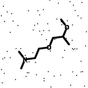 COC(C)COCCN(C)C